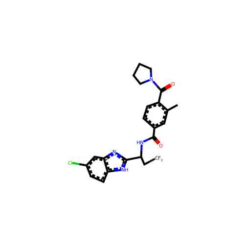 Cc1cc(C(=O)NC(CC(F)(F)F)c2nc3cc(Cl)ccc3[nH]2)ccc1C(=O)N1CCCC1